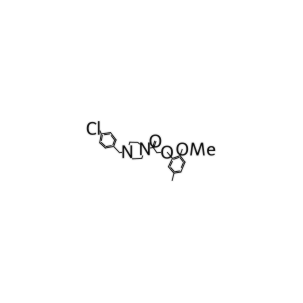 COc1ccc(C)cc1OCC(=O)N1CCN(Cc2ccc(Cl)cc2)CC1